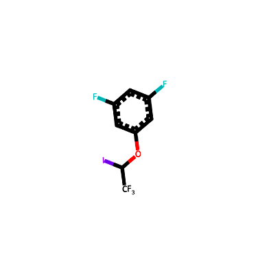 Fc1cc(F)cc(OC(I)C(F)(F)F)c1